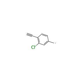 C#Cc1ccc([CH2])cc1Cl